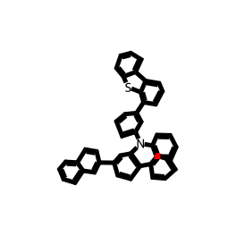 c1ccc(-c2ccc(-c3ccc4ccccc4c3)cc2N(c2ccccc2)c2cccc(-c3cccc4c3sc3ccccc34)c2)cc1